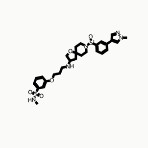 CNS(=O)(=O)c1cccc(OCCCNC2COC3(CCN([S+]([O-])c4cccc(-c5cnn(C)c5)c4)CC3)C2)c1